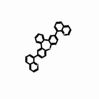 c1ccc2c(c1)-c1cc(-c3cccc4cccnc34)ccc1Oc1ccc(-c3cccc4cccnc34)cc1-2